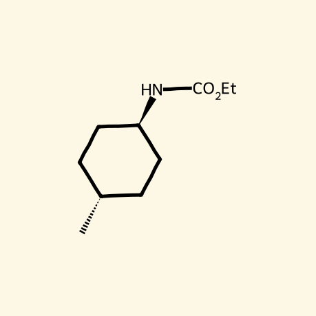 CCOC(=O)N[C@H]1CC[C@H](C)CC1